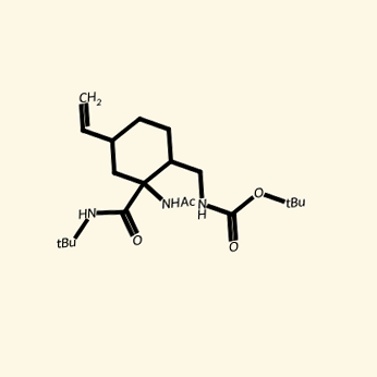 C=CC1CCC(CNC(=O)OC(C)(C)C)C(NC(C)=O)(C(=O)NC(C)(C)C)C1